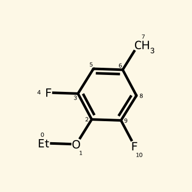 CCOc1c(F)cc(C)cc1F